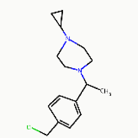 CC(c1ccc(CCl)cc1)N1CCN(C2CC2)CC1